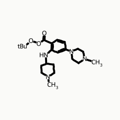 CN1CCC(Nc2cc(N3CCN(C)CC3)ccc2C(=O)OOC(C)(C)C)CC1